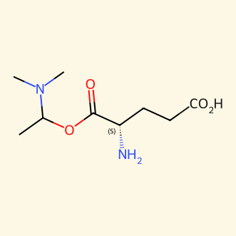 CC(OC(=O)[C@@H](N)CCC(=O)O)N(C)C